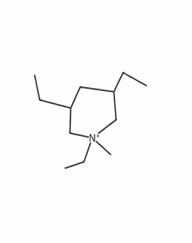 CCC1CC(CC)C[N+](C)(CC)C1